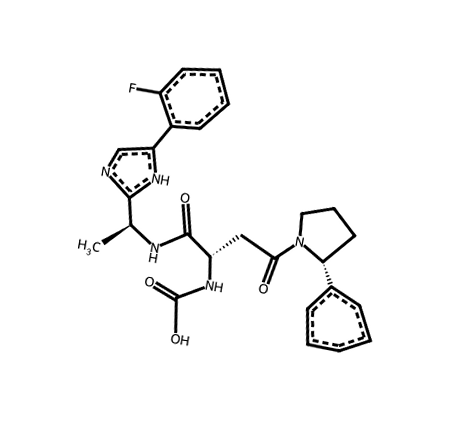 C[C@H](NC(=O)[C@H](CC(=O)N1CCC[C@@H]1c1ccccc1)NC(=O)O)c1ncc(-c2ccccc2F)[nH]1